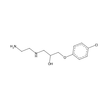 NCCNCC(O)COc1ccc(Cl)cc1